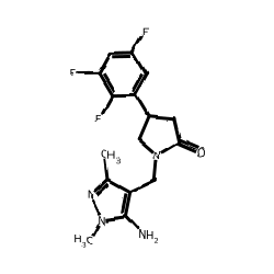 Cc1nn(C)c(N)c1CN1CC(c2cc(F)cc(F)c2F)CC1=O